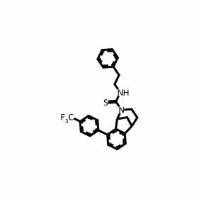 FC(F)(F)c1ccc(-c2cccc3c2C2CC3CCN2C(=S)NCCc2ccccc2)cc1